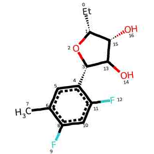 CC[C@H]1O[C@@H](c2cc(C)c(F)cc2F)C(O)[C@H]1O